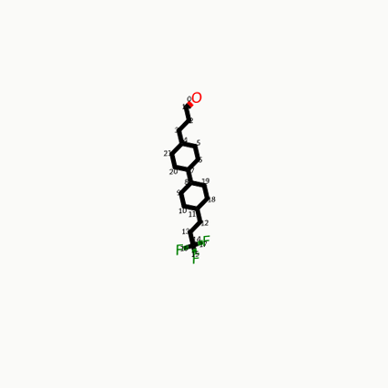 O=CCCC1CCC(C2CCC(CCC(F)(F)F)CC2)CC1